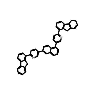 C1=CC2=C(CC1)c1cccc(-c3ccc(-c4cccc5cc(-c6ccc(-c7cccc8c7Cc7ccccc7-8)nc6)ccc45)cn3)c1C2